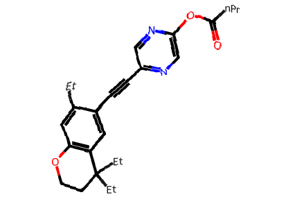 CCCC(=O)Oc1cnc(C#Cc2cc3c(cc2CC)OCCC3(CC)CC)cn1